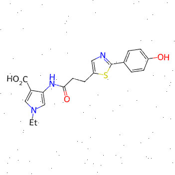 CCn1cc(NC(=O)CCc2cnc(-c3ccc(O)cc3)s2)c(C(=O)O)c1